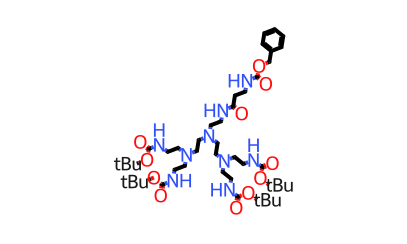 CC(C)(C)OC(=O)NCCN(CCNC(=O)OC(C)(C)C)CCN(CCNC(=O)CCNC(=O)OCc1ccccc1)CCN(CCNC(=O)OC(C)(C)C)CCNC(=O)OC(C)(C)C